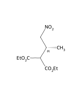 CCOC(=O)C(C(=O)OCC)[C@@H](C)C[N+](=O)[O-]